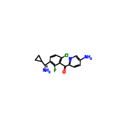 Nc1ccc(C(=O)c2c(Cl)ccc([C@H](N)C3CC3)c2F)nc1